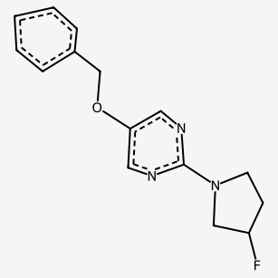 FC1CCN(c2ncc(OCc3ccccc3)cn2)C1